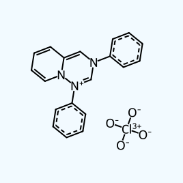 C1=CC2=CN(c3ccccc3)C=[N+](c3ccccc3)N2C=C1.[O-][Cl+3]([O-])([O-])[O-]